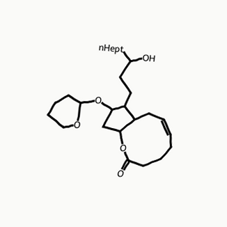 CCCCCCCC(O)CCC1C(OC2CCCCO2)CC2OC(=O)CCCC=CCC21